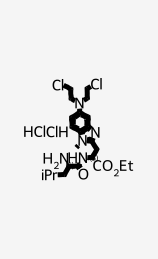 CCOC(=O)[C@H](Cc1nc2cc(N(CCCl)CCCl)ccc2n1C)NC(=O)[C@@H](N)CC(C)C.Cl.Cl